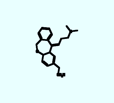 CN(C)CC/C=C1\c2ccccc2COC2C=CC(CC(=O)O)=CC12